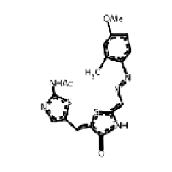 COc1ccc(N=NC=c2[nH]c(=O)c(=Cc3cnc(NC(C)=O)s3)s2)c(C)c1